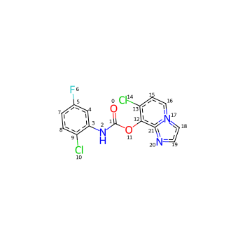 O=C(Nc1cc(F)ccc1Cl)Oc1c(Cl)ccn2ccnc12